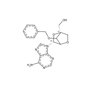 Nc1ncnc2c1ncn2[C@@H]1O[C@@]2(CO)COC1C2OCc1ccccc1